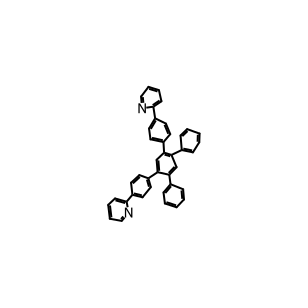 c1ccc(-c2cc(-c3ccccc3)c(-c3ccc(-c4ccccn4)cc3)cc2-c2ccc(-c3ccccn3)cc2)cc1